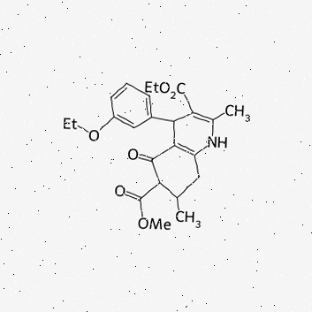 CCOC(=O)C1=C(C)NC2=C(C(=O)C(C(=O)OC)C(C)C2)C1c1cccc(OCC)c1